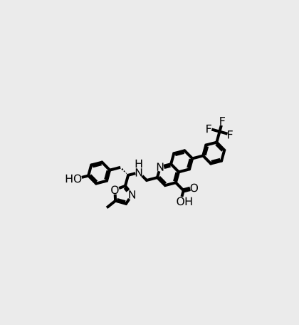 Cc1cnc([C@H](Cc2ccc(O)cc2)NCc2cc(C(=O)O)c3cc(-c4cccc(C(F)(F)F)c4)ccc3n2)o1